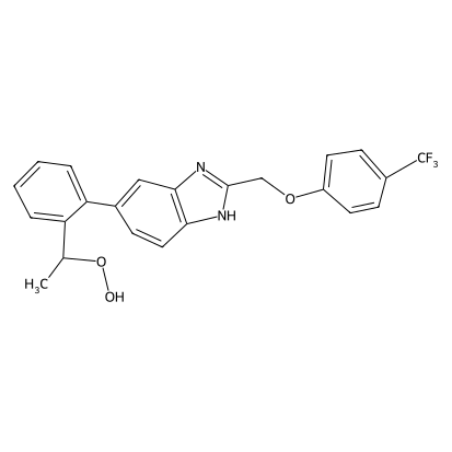 CC(OO)c1ccccc1-c1ccc2[nH]c(COc3ccc(C(F)(F)F)cc3)nc2c1